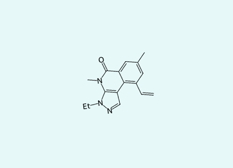 C=Cc1cc(C)cc2c(=O)n(C)c3c(cnn3CC)c12